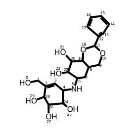 OCC1=CC(NC2CC3COC(c4ccccc4)OC3C(O)C2O)C(O)C(O)C1O